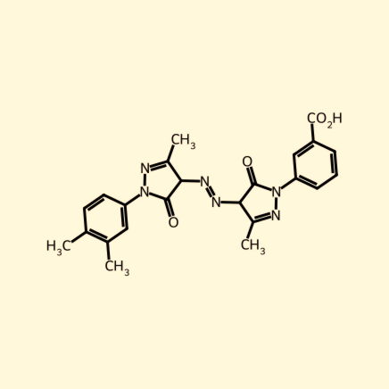 CC1=NN(c2cccc(C(=O)O)c2)C(=O)C1N=NC1C(=O)N(c2ccc(C)c(C)c2)N=C1C